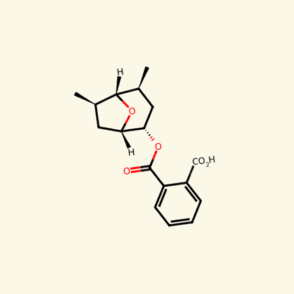 C[C@@H]1C[C@@H]2O[C@H]1[C@@H](C)C[C@@H]2OC(=O)c1ccccc1C(=O)O